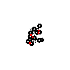 c1ccc(N(c2ccccc2)c2ccc3sc4cccc(N(c5ccccc5)c5cc(-c6ccc7c(c6)CCC7)c6c(c5)C5(c7ccccc7O6)c6ccccc6-c6ccccc65)c4c3c2)cc1